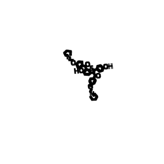 O=C(c1ccc(OCCN2CCCCC2)cc1)c1c(-c2ccc(O)cc2)sc2c(C(=O)c3ccc(OCCN4CCCCC4)cc3)c(O)ccc12